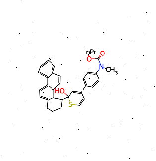 CCCOC(=O)N(C)c1ccc(C2=CC(O)(C3CCCc4ccc5c(ccc6ccccc65)c43)SC=C2)cc1